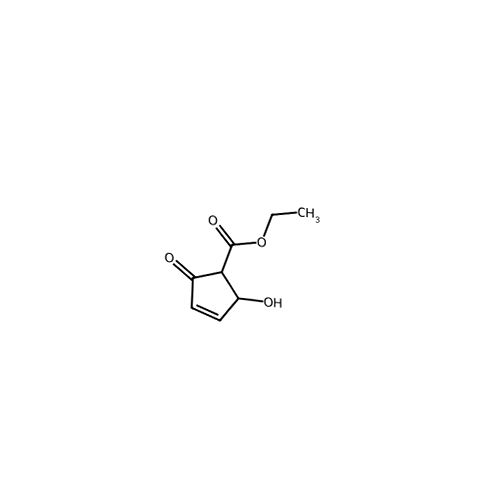 CCOC(=O)C1C(=O)C=CC1O